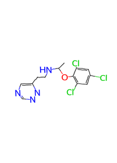 CC(NCCc1cncnn1)Oc1c(Cl)cc(Cl)cc1Cl